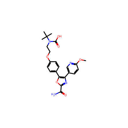 COc1ccc(-c2nc(C(N)=O)oc2-c2ccc(OCCN(C(=O)O)C(C)(C)C)cc2)cn1